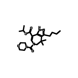 CCCCc1n[nH]c2c1C(C)(C)CN(C(=O)N1CCOCC1)C=C2C(=O)OC(C)C